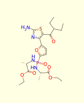 CCOC(=O)[C@H](C)NP(=O)(N[C@@H](C)C(=O)OCC)c1ccc(-c2nc(N)sc2C(=O)C(CC)CC)o1